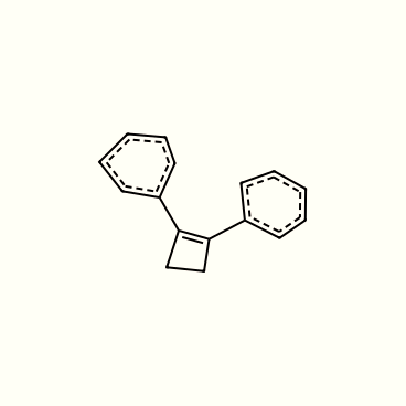 c1ccc(C2=C(c3ccccc3)CC2)cc1